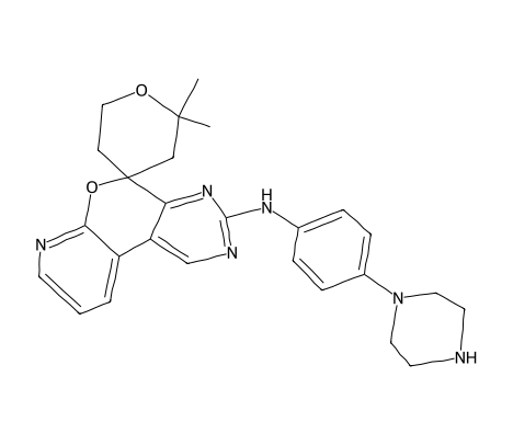 CC1(C)CC2(CCO1)Oc1ncccc1-c1cnc(Nc3ccc(N4CCNCC4)cc3)nc12